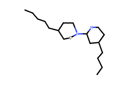 CCCCCC1CCN(C2CC(CCCC)CC[N]2)CC1